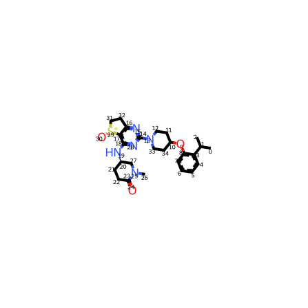 CC(C)c1ccccc1OC1CCN(c2nc3c(c(N[C@H]4CCC(=O)N(C)C4)n2)[S+]([O-])CC3)CC1